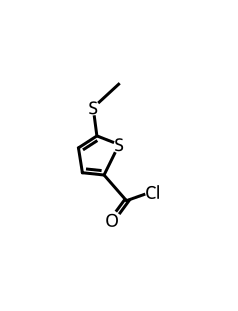 CSc1ccc(C(=O)Cl)s1